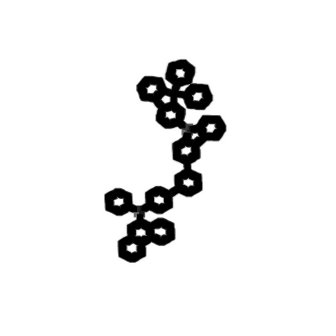 c1ccc(N(c2ccc(-c3cccc(-c4ccc5c(c4)c4ccccc4n5-c4ccc5c(c4)C(c4ccccc4)(c4ccccc4)c4ccccc4-5)c3)cc2)c2cc3ccccc3c3ccccc23)cc1